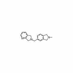 CN1Cc2ccc(CN3Cc4cccnc4C3)cc2C1